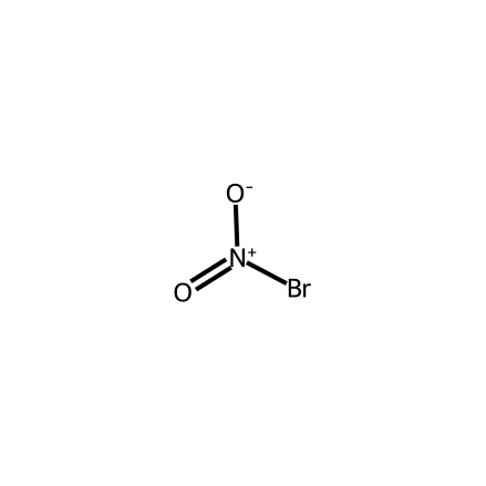 O=[N+]([O-])Br